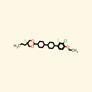 CCCC1(F)COC(C2CCC(C3CCC(c4ccc(OCC)c(Cl)c4F)CC3)CC2)OC1